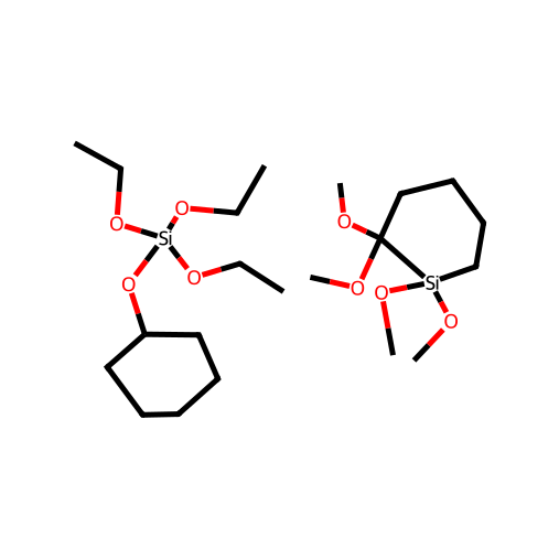 CCO[Si](OCC)(OCC)OC1CCCCC1.COC1(OC)CCCC[Si]1(OC)OC